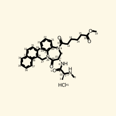 CN[C@@H](C)C(=O)N[C@H]1CN(C(=O)CCCCC(=O)OC)c2ccccc2N(Cc2c(C)ccc3ccccc23)C1=O.Cl